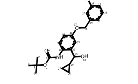 CC(C)(C)OC(=O)Nc1ccc(OCc2cccc(F)c2)cc1C(O)C1CC1